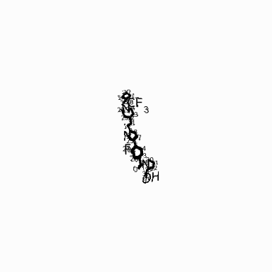 C=C(c1ccc(-c2ccc(CCC3CCN(CC4(C(F)(F)F)CCC4)CC3)nc2)c(F)c1)N1CCCC1CO